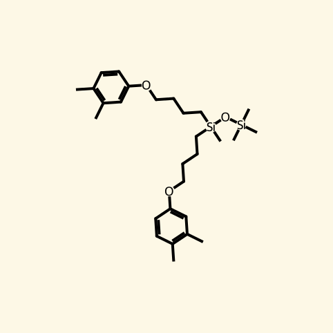 Cc1ccc(OCCCC[Si](C)(CCCCOc2ccc(C)c(C)c2)O[Si](C)(C)C)cc1C